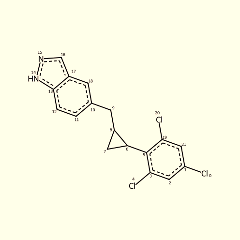 Clc1cc(Cl)c(C2CC2Cc2ccc3[nH]ncc3c2)c(Cl)c1